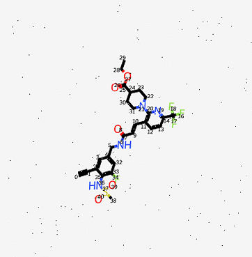 C#Cc1cc(CNC(=O)/C=C/c2ccc(C(F)(F)F)nc2N2CCC(C(=O)OCC)CC2)cc(F)c1NS(C)(=O)=O